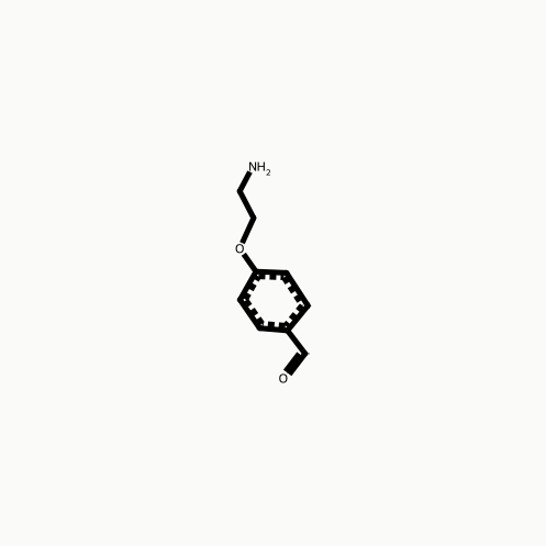 NCCOc1ccc([C]=O)cc1